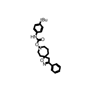 CC(C)(C)c1ccc(NC(=O)ON2CCCC3(CC2)CC(c2ccccc2)=NO3)cc1